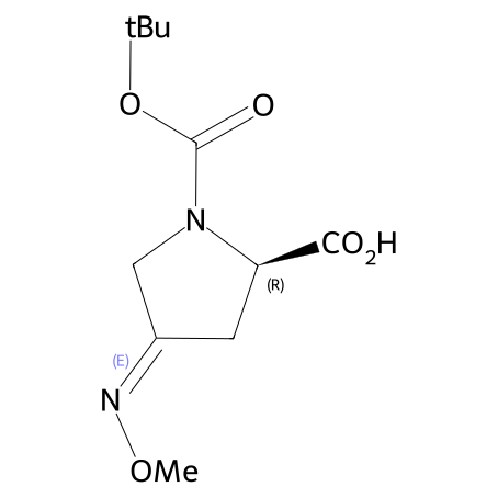 CO/N=C1\C[C@H](C(=O)O)N(C(=O)OC(C)(C)C)C1